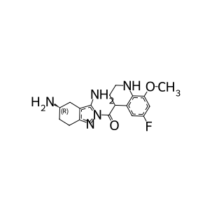 COc1cc(F)cc2c1NCCC2C(=O)n1nc2c(c1N)C[C@H](N)CC2